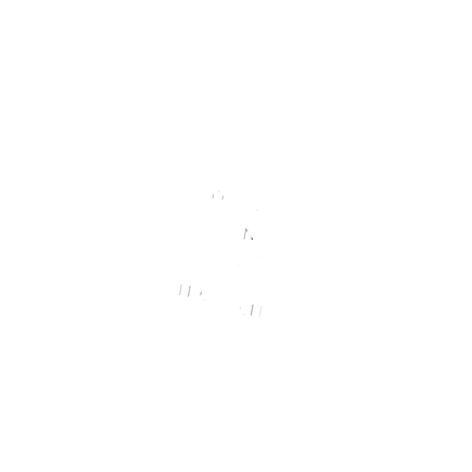 CC(C)C1CN(C(=O)C2CCCCO2)C1